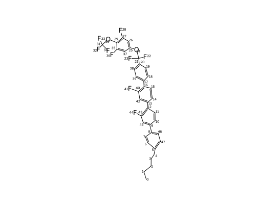 CCCCCc1ccc(-c2ccc(-c3ccc(-c4ccc(C(F)(F)Oc5cc(F)c(OC(F)(F)F)c(F)c5)cc4)c(F)c3)c(F)c2)cc1